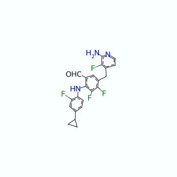 Nc1nccc(Cc2cc(C=O)c(Nc3ccc(C4CC4)cc3F)c(F)c2F)c1F